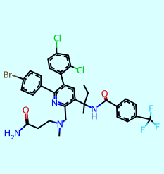 CCC(C)(NC(=O)c1ccc(C(F)(F)F)cc1)c1cc(-c2ccc(Cl)cc2Cl)c(-c2ccc(Br)cc2)nc1CN(C)CCC(N)=O